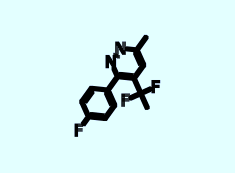 Cc1cc(C(C)(F)F)c(-c2ccc(F)cc2)nn1